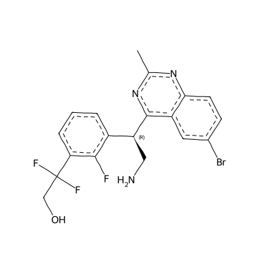 Cc1nc([C@@H](CN)c2cccc(C(F)(F)CO)c2F)c2cc(Br)ccc2n1